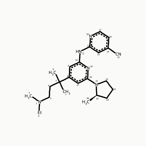 CCN(C)CCC(C)(C)c1cc(Nc2cc(C#N)ccn2)nc(N2CCC[C@H]2C)c1